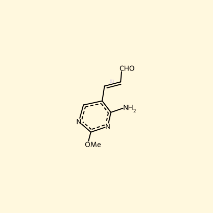 COc1ncc(/C=C/C=O)c(N)n1